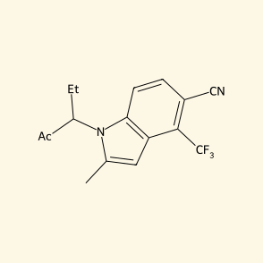 CCC(C(C)=O)n1c(C)cc2c(C(F)(F)F)c(C#N)ccc21